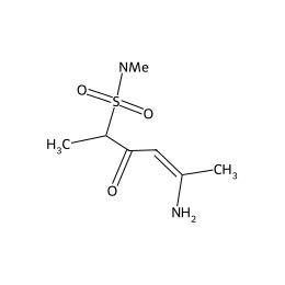 CNS(=O)(=O)C(C)C(=O)/C=C(/C)N